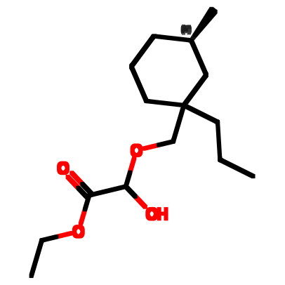 CCCC1(COC(O)C(=O)OCC)CCC[C@@H](C)C1